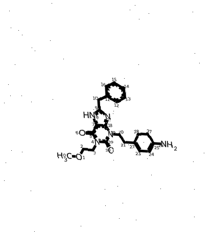 COCCn1c(=O)c2[nH]c(Cc3ccccc3)nc2n(CCC2=CC=C(N)CC2)c1=O